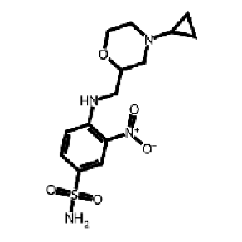 NS(=O)(=O)c1ccc(NCC2CN(C3CC3)CCO2)c([N+](=O)[O-])c1